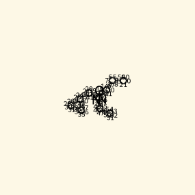 c1ccc(-c2cccc(-c3ccc4c(c3)oc3c(-c5cccc(-c6ccc7c8ccccc8c8ccccc8c7c6)c5)nc(-c5cccc(-c6ccccc6)c5)nc34)c2)cc1